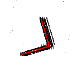 O=C(O)O.O=C(O)O.[Na+].[Na+].[Na+].[Na+].[Na+].[Na+].[Na+].[Na+].[Na+].[Na+].[Na+].[Na+].[Na+].[Na+].[Na+].[Na+].[Na+].[Na+].[Na+].[Na+].[Na+].[Na+].[Na+].[Na+].[Na+].[Na+].[Na+].[Na+].[Na+].[Na+].[Na+].[Na+].[Na+].[Na+].[Na+].[Na+].[Na+].[Na+].[Na+].[Na+].[Na+].[Na+].[Na+].[Na+].[Na+].[Na+].[Na+].[Na+].[Na+].[Na+].[Na+].[Na+].[Na+].[Na+].[Na+].[Na+].[Na+].[Na+].[Na+].[Na+].[Na+].[Na+].[Na+].[Na+].[Na+].[Na+].[Na+].[Na+].[Na+].[Na+].[Na+].[Na+].[Na+].[Na+].[Na+].[Na+].[Na+].[Na+].[Na+].[Na+].[Na+]